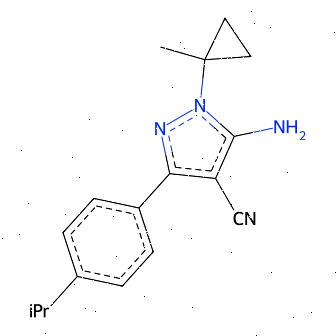 CC(C)c1ccc(-c2nn(C3(C)CC3)c(N)c2C#N)cc1